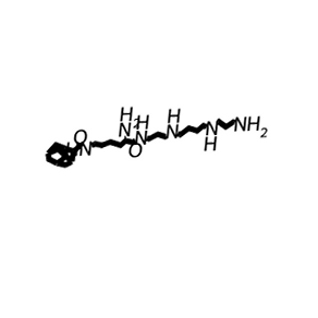 NCCCNCCCCNCCCNC(=O)[C@@H](N)CCCCNC(=O)C1C2CC3CC(C2)CC1C3